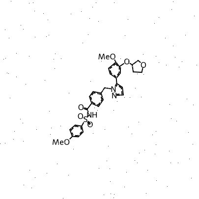 COc1ccc(S(=O)(=O)NC(=O)c2ccc(Cn3nccc3-c3ccc(OC)c(OC4CCOC4)c3)cc2)cc1